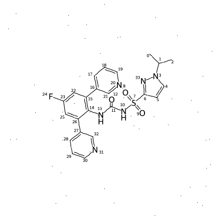 CC(C)n1ccc(S(=O)(=O)NC(=O)Nc2c(-c3cccnc3)cc(F)cc2-c2cccnc2)n1